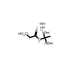 CCCCCCCCCCC(C)(CCCCCCCCCC)OC(=O)CC(=O)O.[KH].[LiH]